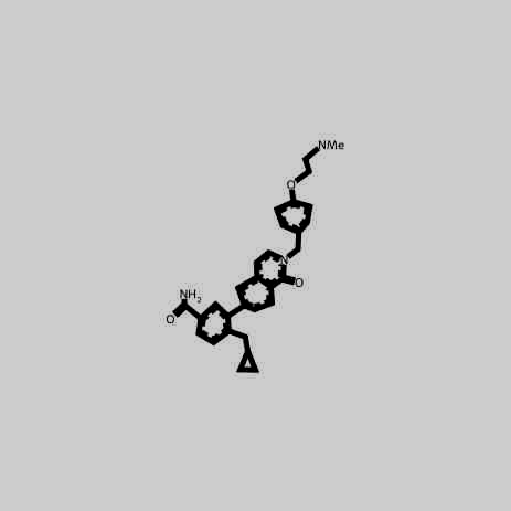 CNCCOc1ccc(Cn2ccc3cc(-c4cc(C(N)=O)ccc4CC4CC4)ccc3c2=O)cc1